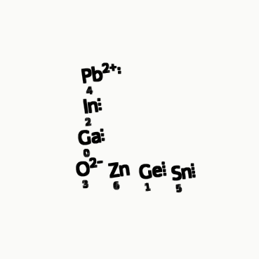 [Ga].[Ge].[In].[O-2].[Pb+2].[Sn].[Zn]